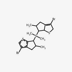 CC1Cc2c(Br)csc2C1[Si](C)(C)C1C(C)CC2=C(Br)CSC21